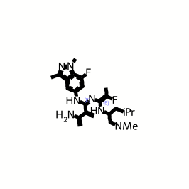 C=C(N)C(=C)/C(=N\C(NC(CNC)CC(C)C)=C(/C)F)Nc1cc(F)c2c(c1)c(C)nn2C